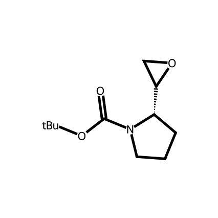 CC(C)(C)OC(=O)N1CCC[C@H]1C1CO1